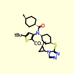 CC(C)(C)c1cc(N(C(=O)[C@H]2CC[C@H](C)CC2)[C@H]2CC[C@H](Sc3nncn3C3CC3)CC2)c(C(=O)O)s1